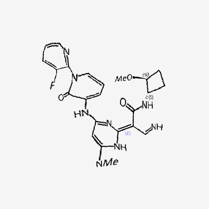 CNC1=CC(Nc2cccn(-c3ncccc3F)c2=O)=N/C(=C(/C=N)C(=O)N[C@H]2CC[C@@H]2OC)N1